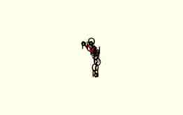 C[C@]12CC[C@H](OCCOCCN3CCCC3)CC1CC[C@@H]1[C@@H]2CC[C@@]2(C)[C@H]1CC[C@@]2(OCCN1CCCC1)c1ccoc1